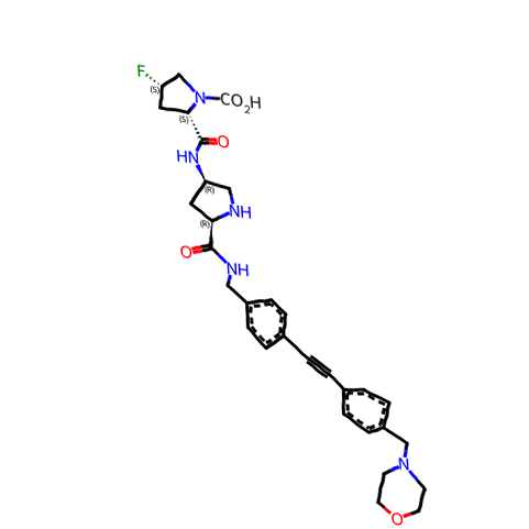 O=C(NCc1ccc(C#Cc2ccc(CN3CCOCC3)cc2)cc1)[C@H]1C[C@@H](NC(=O)[C@@H]2C[C@H](F)CN2C(=O)O)CN1